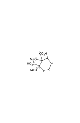 COC1(C(=O)O)CCCCC1(OC)C(=O)O